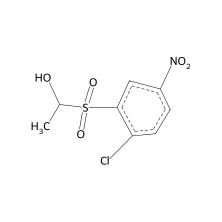 CC(O)S(=O)(=O)c1cc([N+](=O)[O-])ccc1Cl